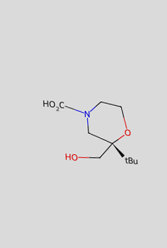 CC(C)(C)[C@@]1(CO)CN(C(=O)O)CCO1